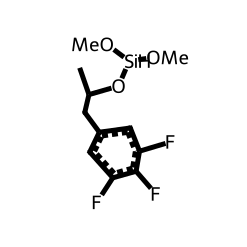 CO[SiH](OC)OC(C)Cc1cc(F)c(F)c(F)c1